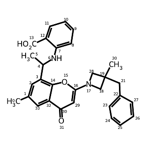 Cc1cc(C(C)Nc2ccccc2C(=O)O)c2oc(N3CC(C)(Cc4ccccc4)C3)cc(=O)c2c1